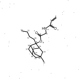 C=CC(=O)NCC(=O)OC1(CCCC)C2CC3CC1CC(C)(C3)C2